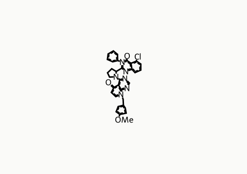 COc1ccc(Cn2ccc(=O)c3c(N4CCCC4c4nc5cccc(Cl)c5c(=O)n4-c4ccccc4)ncnc32)cc1